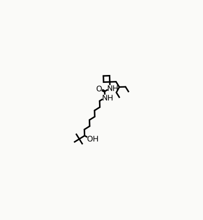 CCC(CC)CC1(NC(=O)NCCCCCCCC(O)C(C)(C)C)CCC1